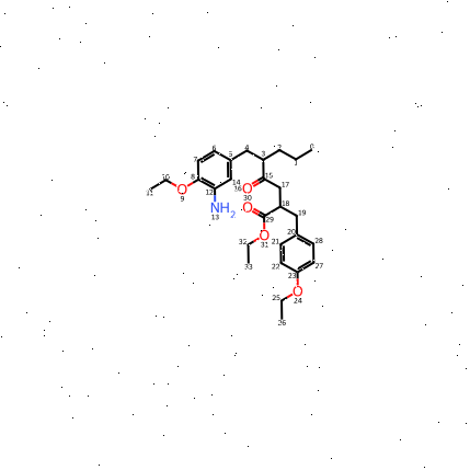 CCCC(Cc1ccc(OCC)c(N)c1)C(=O)CC(Cc1ccc(OCC)cc1)C(=O)OCC